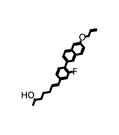 C=CCOc1ccc2cc(-c3ccc(/C=C/CCCC(C)O)cc3F)ccc2c1